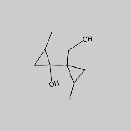 CC1CC1(O)C1(CO)CC1C